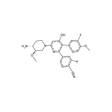 COc1ccc(-c2c(O)cc(N3CC[C@@H](N)[C@H](OC)C3)nc2-c2ccc(C#N)c(F)c2)cc1F